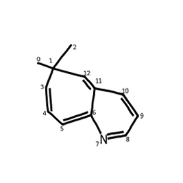 CC1(C)C=CC=c2ncccc2=C1